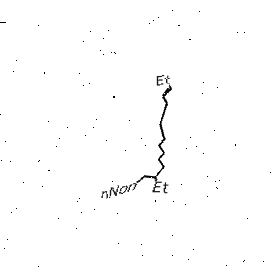 [CH2]C/C=C/CCCCCCCC(CC)CCCCCCCCC[CH2]